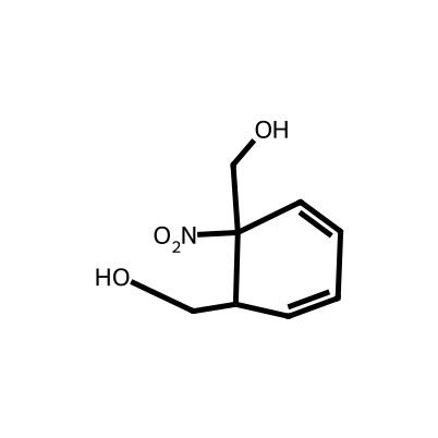 O=[N+]([O-])C1(CO)C=CC=CC1CO